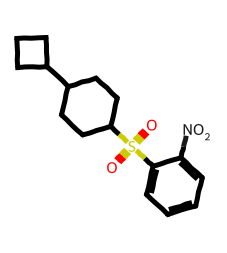 O=[N+]([O-])c1ccccc1S(=O)(=O)C1CCC(C2CCC2)CC1